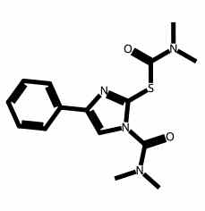 CN(C)C(=O)Sc1nc(-c2ccccc2)cn1C(=O)N(C)C